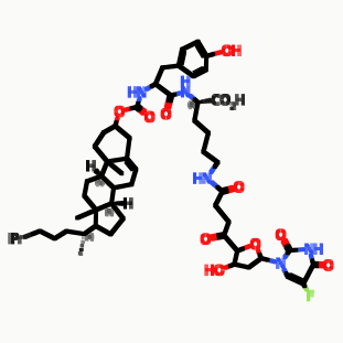 CC(C)CCC[C@@H](C)C1CC[C@H]2C3CC=C4CC(OC(=O)NC(Cc5ccc(O)cc5)C(=O)N[C@H](CCCCNC(=O)CCC(=O)C5OC(n6cc(F)c(=O)[nH]c6=O)CC5O)C(=O)O)CCC4(C)[C@H]3CCC12C